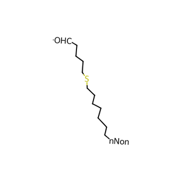 CCCCCCCCCCCCCCCCSCCCC[C]=O